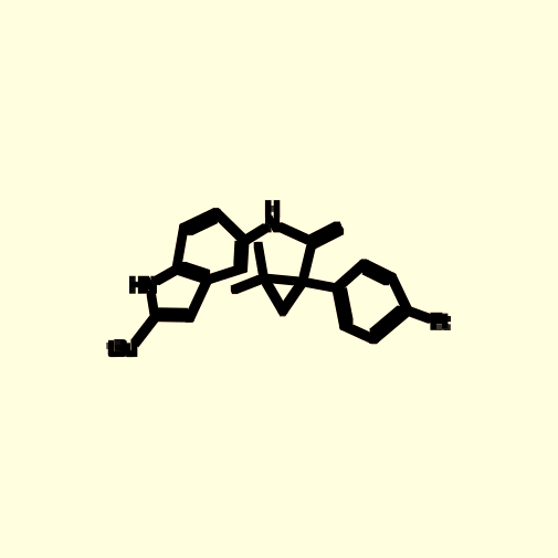 C=C(Nc1ccc2[nH]c(C(C)(C)C)cc2c1)C1(c2ccc(CC)cc2)CC1(C)C